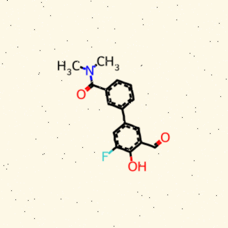 CN(C)C(=O)c1cccc(-c2cc(F)c(O)c(C=O)c2)c1